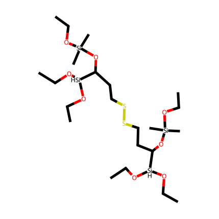 CCO[SiH](OCC)C(CCSSCCC(O[Si](C)(C)OCC)[SiH](OCC)OCC)O[Si](C)(C)OCC